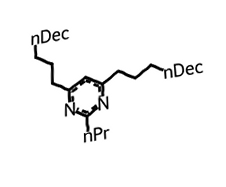 [CH2]CCc1nc(CCCCCCCCCCCCC)cc(CCCCCCCCCCCCC)n1